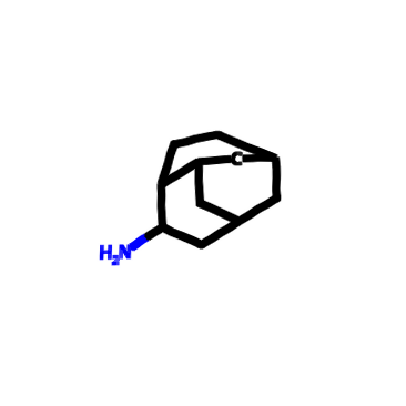 NC1CC2CC3CCC1C(C3)C2